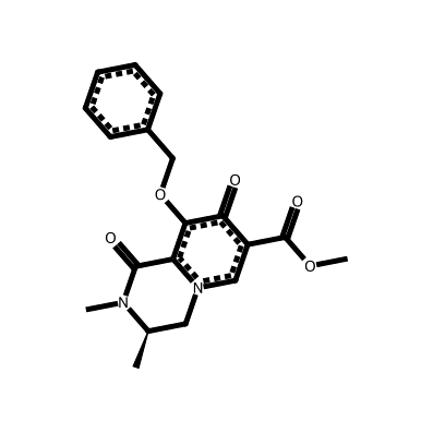 COC(=O)c1cn2c(c(OCc3ccccc3)c1=O)C(=O)N(C)[C@H](C)C2